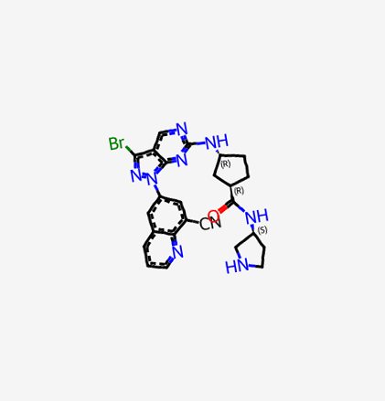 N#Cc1cc(-n2nc(Br)c3cnc(N[C@@H]4CC[C@@H](C(=O)N[C@H]5CCNC5)C4)nc32)cc2cccnc12